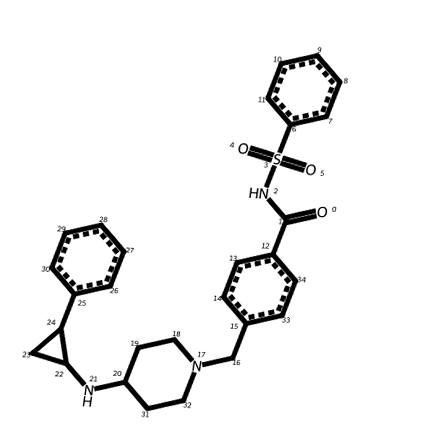 O=C(NS(=O)(=O)c1ccccc1)c1ccc(CN2CCC(NC3CC3c3ccccc3)CC2)cc1